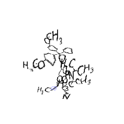 C/C=C\COCC(COC(c1ccccc1)(c1ccc(OC)cc1)c1ccc(OC)cc1)OP(OCCC#N)N(C(C)C)C(C)C